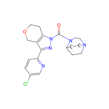 O=C(N1CCN2CCC1CC2)n1nc(-c2ccc(Cl)cn2)c2c1CCOC2